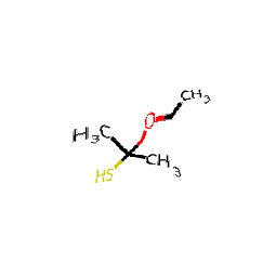 CCOC(C)(C)S